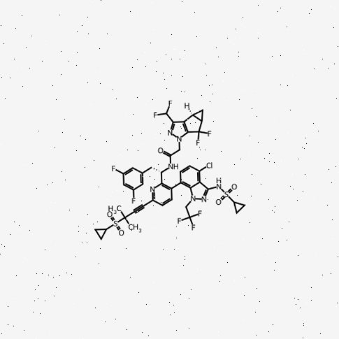 CC(C)(C#Cc1ccc(-c2ccc(Cl)c3c(NS(=O)(=O)C4CC4)nn(CC(F)(F)F)c23)c([C@H](Cc2cc(F)cc(F)c2)NC(=O)Cn2nc(C(F)F)c3c2C(F)(F)C2C[C@H]32)n1)S(=O)(=O)C1CC1